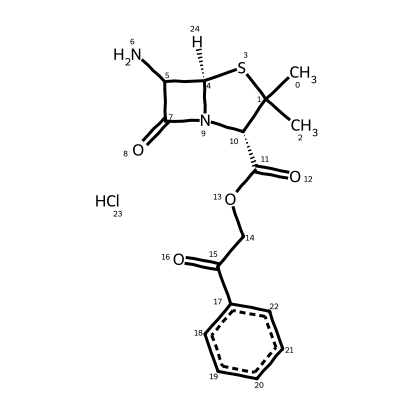 CC1(C)S[C@@H]2C(N)C(=O)N2[C@H]1C(=O)OCC(=O)c1ccccc1.Cl